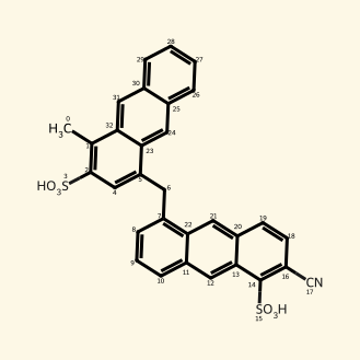 Cc1c(S(=O)(=O)O)cc(Cc2cccc3cc4c(S(=O)(=O)O)c(C#N)ccc4cc23)c2cc3ccccc3cc12